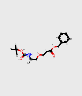 C[C@@H](COCCC(=O)OCc1ccccc1)NC(=O)OC(C)(C)C